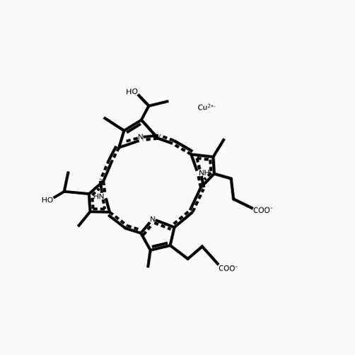 CC1=C(CCC(=O)[O-])c2cc3[nH]c(cc4nc(cc5[nH]c(cc1n2)c(C)c5C(C)O)C(C)=C4C(C)O)c(C)c3CCC(=O)[O-].[Cu+2]